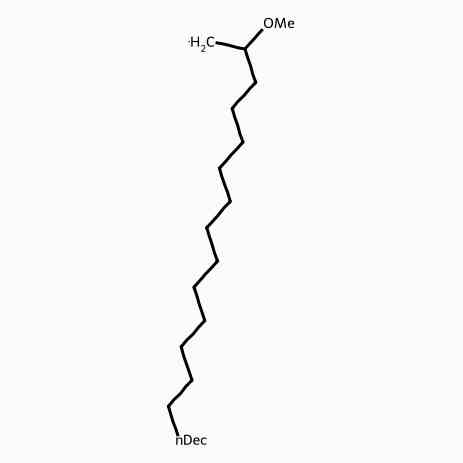 [CH2]C(CCCCCCCCCCCCCCCCCCCCCC)OC